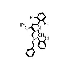 CCc1cccc(CC)c1-c1cc(OC(C)C)c(CN(CCc2ccccc2)Cc2ccccc2Cl)c(C)n1